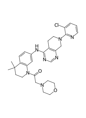 CC1(C)CCN(C(=O)CN2CCOCC2)c2cc(Nc3ncnc4c3CCN(c3ncccc3Cl)C4)ccc21